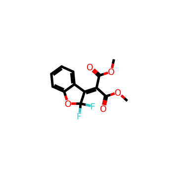 COC(=O)C(C(=O)OC)=C1c2ccccc2OC1(F)F